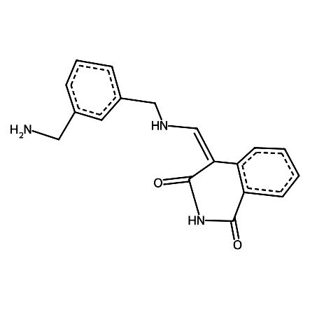 NCc1cccc(CNC=C2C(=O)NC(=O)c3ccccc32)c1